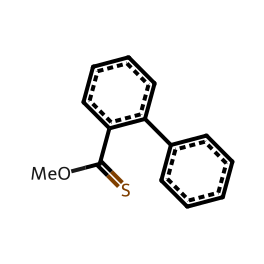 COC(=S)c1ccccc1-c1ccccc1